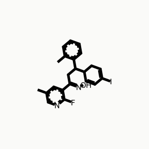 Cc1cnc(F)c(/C(CC(c2ccccc2C)C2C=CC(I)=CC2)=N/O)c1